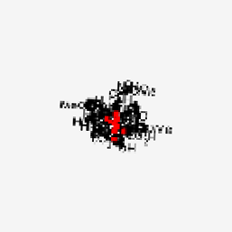 COC(=O)CC(NC(C)=O)C(=O)NC(C)C(=O)NC(CC(=O)O)C(=O)N1CCCC1C(=O)NC(CC(=O)OC)C(=O)NC(C(=O)O)C(=O)NC(Cc1ccc(O)cc1)C(=O)NC(CC(=O)O)C(=O)NC(Cc1ccc(OC)cc1)C(=O)NC(CO)C(=O)NC(CC(=O)O)C(=O)NC(CC(C)C)C(=O)NC(C)C(=O)OC